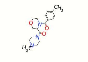 Cc1ccc(C(=O)N2CCOCC2C(=O)N2CCN(C)CC2)cc1